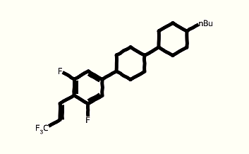 CCCCC1CCC(C2CCC(c3cc(F)c(/C=C/C(F)(F)F)c(F)c3)CC2)CC1